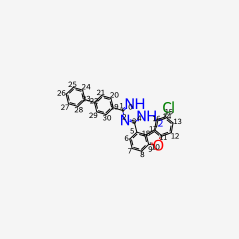 N=C(/N=C(\N)c1cccc2oc3ccc(Cl)cc3c12)c1ccc(-c2ccccc2)cc1